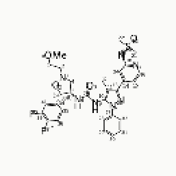 COCCN1C[C@@H](NC(=O)Nc2c(C)c(-c3ccnc(N=S(C)(C)=O)c3)nn2-c2ccccc2)[C@H](c2ccc(F)c(F)c2)O1